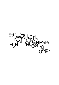 CCOc1nc(N)nc2c1ncn2[C@@H]1O[C@@H]2CO[P@@](=O)(N[C@@H](COC(=O)C(C)C)CC(C)C)O[C@H]2[C@@]1(C)Cl